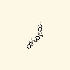 CC1c2ccccc2ON1C(=O)Nc1ccc(S(=O)(=O)Cc2ccc3c(c2)CNC3)cc1